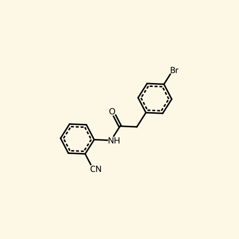 N#Cc1ccccc1NC(=O)Cc1ccc(Br)cc1